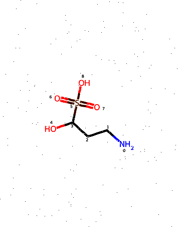 NCCC(O)S(=O)(=O)O